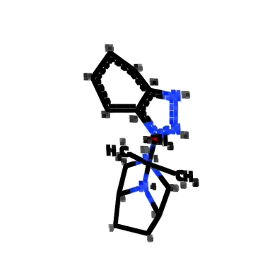 CC(C)(C)N1C2CCC1CN(n1nnc3ccccc31)C2